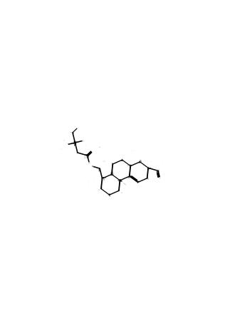 C=C[C@@]1(C)CC=C2[C@@H](CC[C@@H]3[C@](C)(COC(=O)CC(C)(C)CC(=O)O)CCC[C@@]23C)C1